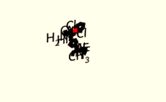 CCc1nc(C(F)(F)F)nn1-c1ccc(Nc2cn(-c3c(Cl)cccc3Cl)nc2C(N)=O)cc1